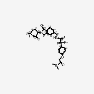 CN(C)C(=O)COc1ccc(C(F)(F)C(=O)NCc2ccc3c(c2)CN(C2CCC(=O)NC2=O)C3=O)cc1